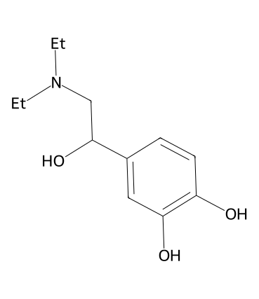 CCN(CC)CC(O)c1ccc(O)c(O)c1